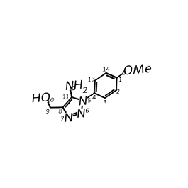 COc1ccc(-n2nnc(CO)c2N)cc1